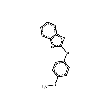 FC(F)(F)Oc1ccc(Nc2nc3ccccc3[nH]2)cc1